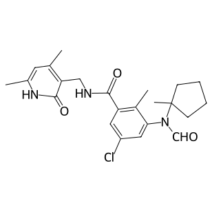 Cc1cc(C)c(CNC(=O)c2cc(Cl)cc(N(C=O)C3(C)CCCC3)c2C)c(=O)[nH]1